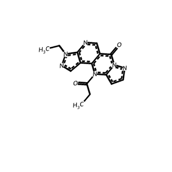 CCC(=O)n1c2c(cnc3c2cnn3CC)c(=O)n2nccc12